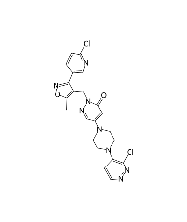 Cc1onc(-c2ccc(Cl)nc2)c1Cn1ncc(N2CCN(c3ccnnc3Cl)CC2)cc1=O